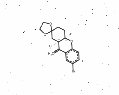 C=C1c2cc(Br)ccc2O[C@@H]2CCC3(C[C@]12C)OCCO3